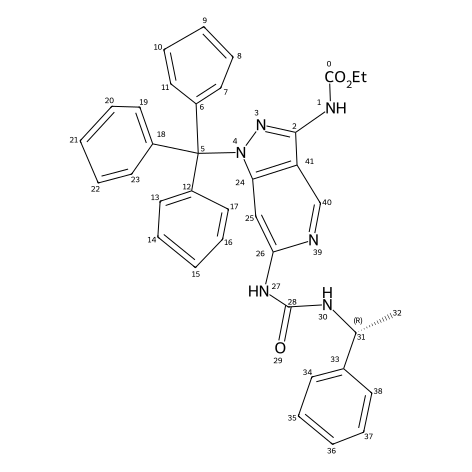 CCOC(=O)Nc1nn(C(c2ccccc2)(c2ccccc2)c2ccccc2)c2cc(NC(=O)N[C@H](C)c3ccccc3)ncc12